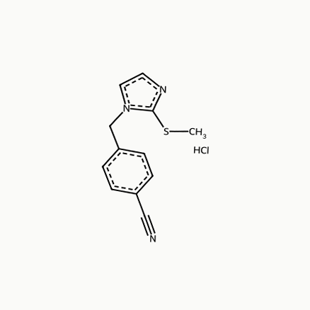 CSc1nccn1Cc1ccc(C#N)cc1.Cl